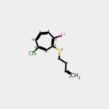 C=CCCSC1=C(I)C=C=CC(Cl)=C1